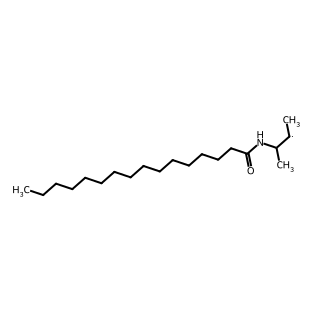 C[CH]C(C)NC(=O)CCCCCCCCCCCCCCC